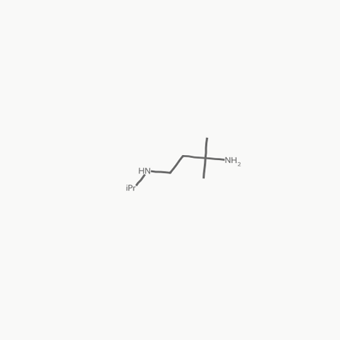 CC(C)NCCC(C)(C)N